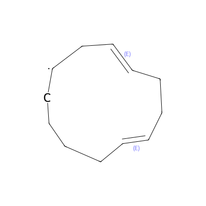 [CH]1C/C=C/CC/C=C/CCCC1